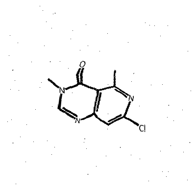 Cc1nc(Cl)cc2ncn(C)c(=O)c12